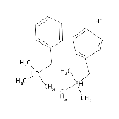 C[PH](C)(C)Cc1ccccc1.C[PH](C)(C)Cc1ccccc1.[H+]